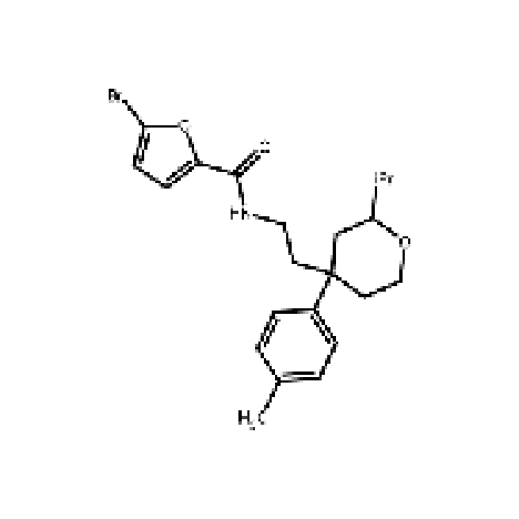 Cc1ccc(C2(CCNC(=O)c3ccc(Br)o3)CCOC(C(C)C)C2)cc1